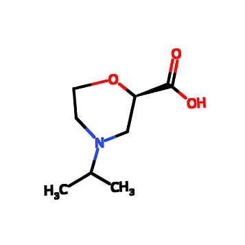 CC(C)N1CCO[C@@H](C(=O)O)C1